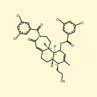 CC1=CC(OC(=O)c2cc(Cl)cc(Cl)c2)[C@H]2[C@@H](CCC3=CC(=O)N(C(=O)c4cc(Cl)cc(Cl)c4)CC[C@@]32C)[C@@H]1CCC#N